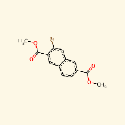 COC(=O)c1ccc2cc(C(=O)OC)c(Br)cc2c1